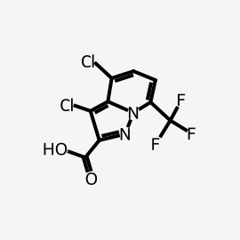 O=C(O)c1nn2c(C(F)(F)F)ccc(Cl)c2c1Cl